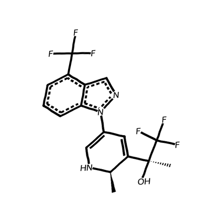 C[C@H]1NC=C(n2ncc3c(C(F)(F)F)cccc32)C=C1[C@](C)(O)C(F)(F)F